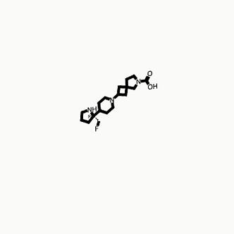 O=C(O)N1CCC2(CC(N3CCC([C@@]4(CF)CCCN4)CC3)C2)C1